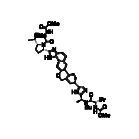 CCC(NC(=O)OC)C(=O)N1[C@@H](C(C)OC)CC[C@H]1c1nc2ccc3cc4c(cc3c2[nH]1)OCc1cc(-c2cnc([C@H](C)N(C(=O)[C@@H](NC(=O)OC)C(C)C)[C@@H](C)CC)[nH]2)ccc1-4